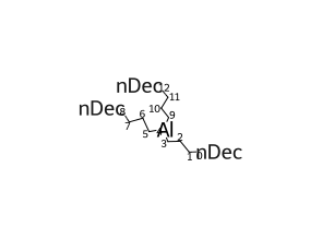 CCCCCCCCCCCC[CH2][Al]([CH2]CCCCCCCCCCCC)[CH2]CCCCCCCCCCCC